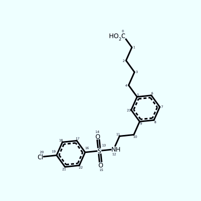 O=C(O)CCCCc1cccc(CCNS(=O)(=O)c2ccc(Cl)cc2)c1